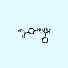 CCCC(=O)c1ccc(NCc2c[nH]nc2-c2ccccc2)cc1